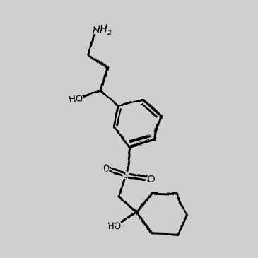 NCCC(O)c1cccc(S(=O)(=O)CC2(O)CCCCC2)c1